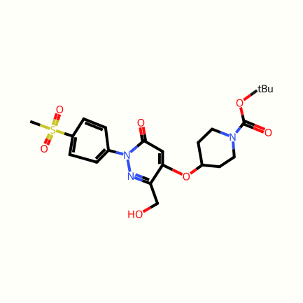 CC(C)(C)OC(=O)N1CCC(Oc2cc(=O)n(-c3ccc(S(C)(=O)=O)cc3)nc2CO)CC1